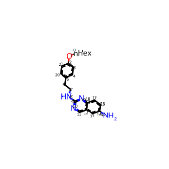 CCCCCCOc1ccc(CCNc2ncc3cc(N)ccc3n2)cc1